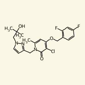 Cc1cc(OCc2ccc(F)cc2F)c(Cl)c(=O)n1Cc1ccn(CC(C)(C)O)n1